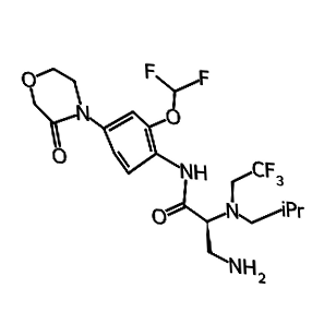 CC(C)CN(CC(F)(F)F)[C@@H](CN)C(=O)Nc1ccc(N2CCOCC2=O)cc1OC(F)F